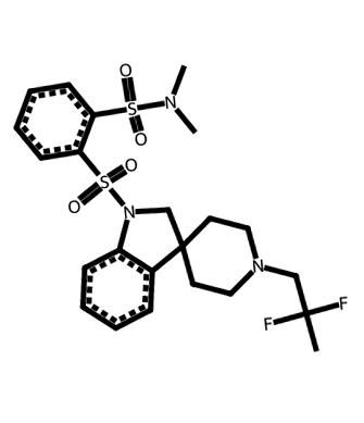 CN(C)S(=O)(=O)c1ccccc1S(=O)(=O)N1CC2(CCN(CC(C)(F)F)CC2)c2ccccc21